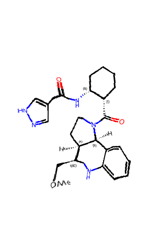 COC[C@@H]1Nc2ccccc2[C@H]2[C@@H]1CCN2C(=O)[C@H]1CCCC[C@H]1NC(=O)c1cn[nH]c1